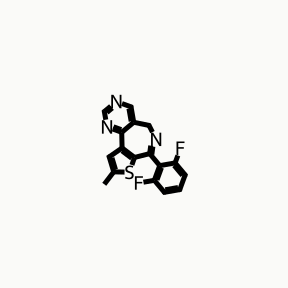 Cc1cc2c(s1)C(c1c(F)cccc1F)=NCc1cncnc1-2